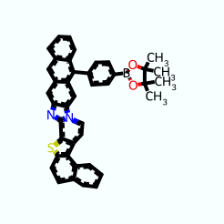 CC1(C)OB(c2ccc(-c3c4ccccc4cc4cc5nc6c7sc8ccc9ccccc9c8c7ccn6c5cc34)cc2)OC1(C)C